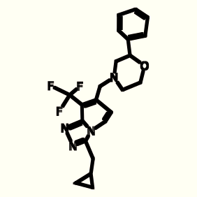 FC(F)(F)c1c(CN2CCOC(c3ccccc3)C2)ccn2c(CC3CC3)nnc12